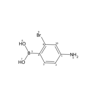 Nc1ccc(B(O)O)c(Br)c1